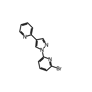 Brc1cccc(-n2cc(-c3ccccn3)cn2)n1